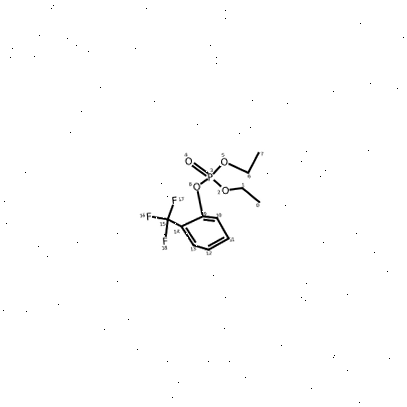 CCOP(=O)(OCC)Oc1cc[c]cc1C(F)(F)F